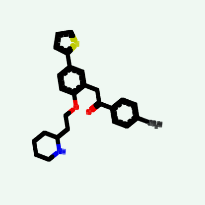 O=C(O)c1ccc(C(=O)Cc2cc(-c3cccs3)ccc2OCCC2CCCCN2)cc1